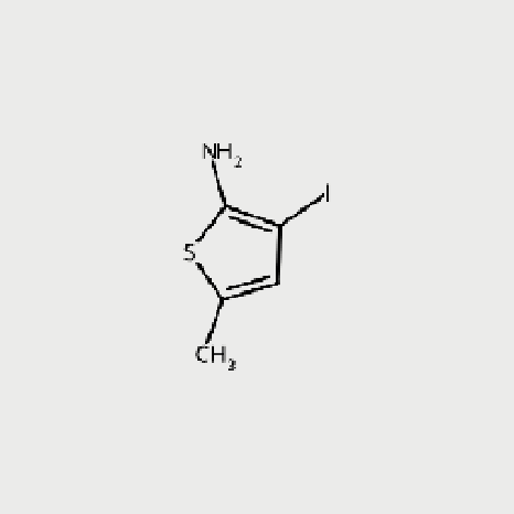 Cc1cc(I)c(N)s1